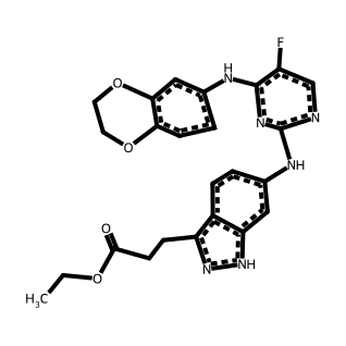 CCOC(=O)CCc1n[nH]c2cc(Nc3ncc(F)c(Nc4ccc5c(c4)OCCO5)n3)ccc12